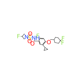 O=C(NS(=O)(=O)N1CC(F)C1)c1cc(C2CC2)c(OCC2CCC(F)(F)CC2)cc1F